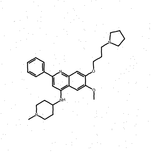 COc1cc2c(NC3CCN(C)CC3)cc(-c3ccccc3)nc2cc1OCCCN1CCCC1